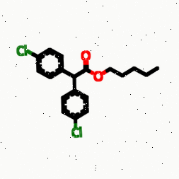 CCCCCOC(=O)C(c1ccc(Cl)cc1)c1ccc(Cl)cc1